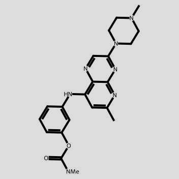 CNC(=O)Oc1cccc(Nc2cc(C)nc3nc(N4CCN(C)CC4)cnc23)c1